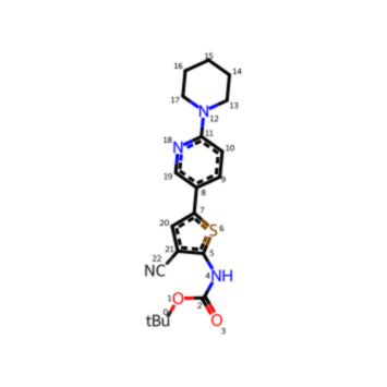 CC(C)(C)OC(=O)Nc1sc(-c2ccc(N3CCCCC3)nc2)cc1C#N